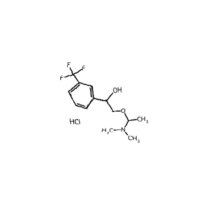 CC(OCC(O)c1cccc(C(F)(F)F)c1)N(C)C.Cl